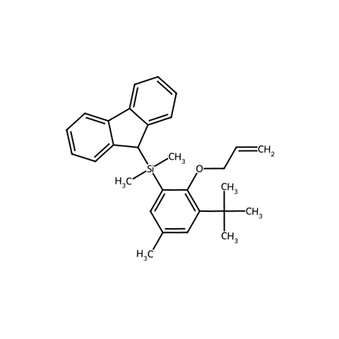 C=CCOc1c(C(C)(C)C)cc(C)cc1[Si](C)(C)C1c2ccccc2-c2ccccc21